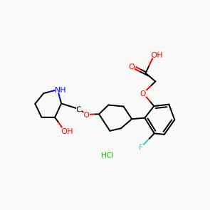 Cl.O=C(O)COc1cccc(F)c1C1CCC(OCC2NCCCC2O)CC1